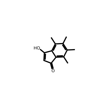 Cc1c(C)c(C)c2c(c1C)C(=O)C=C2O